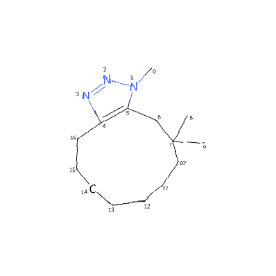 Cn1nnc2c1CC(C)(C)CCCCCCC2